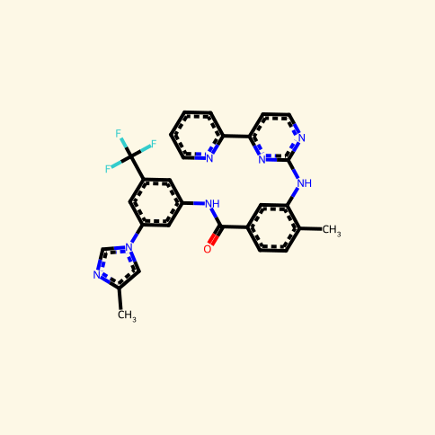 Cc1cn(-c2cc(NC(=O)c3ccc(C)c(Nc4nccc(-c5ccccn5)n4)c3)cc(C(F)(F)F)c2)cn1